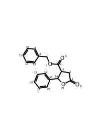 O=C1CC(C(=O)OCc2ccccc2)C(c2ccccc2)O1